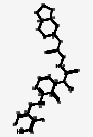 CCC(C(=O)NCC(=O)CN1CCN2CCCC2C1)n1ccnc(NCC(=N/C)/C(C)=N\O)c1=O